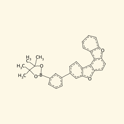 CC1(C)OB(c2cccc(-c3ccc4c(c3)oc3ccc5oc6ccccc6c5c34)c2)OC1(C)C